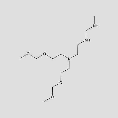 CNCNCCN(CCOCOC)CCOCOC